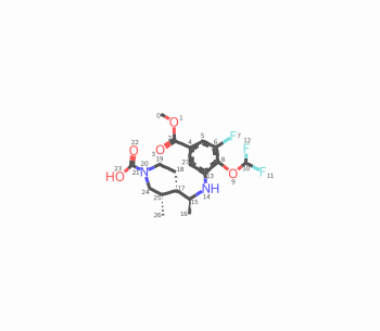 COC(=O)c1cc(F)c(OC(F)F)c(N[C@@H](C)[C@H]2CCN(C(=O)O)C[C@H]2C)c1